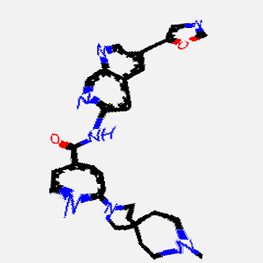 CN1CCC2(CC1)CN(c1cc(C(=O)Nc3cc4cc(-c5cnco5)cnc4cn3)ccn1)C2